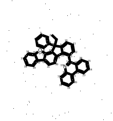 CCC1(c2ccccc2)c2cccc(-c3nc4ccccc4c4ccccc34)c2-c2ccc3c(oc4ccccc43)c21